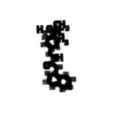 CC(C)(C)c1ccc(CNC(=O)[CH]c2cccc3cnccc23)cc1